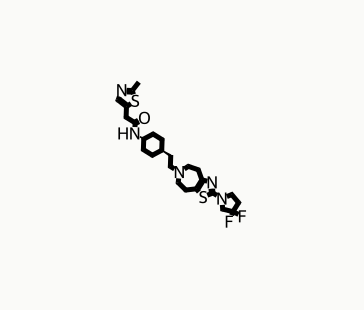 Cc1ncc(CC(=O)N[C@H]2CC[C@H](CCN3CCc4nc(N5CCC(F)(F)C5)sc4CC3)CC2)s1